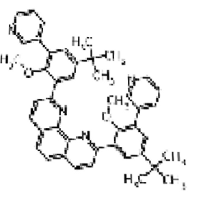 COc1c(-c2cccnc2)cc(C(C)(C)C)cc1-c1ccc2ccc3ccc(-c4cc(C(C)(C)C)cc(-c5cccnc5)c4OC)nc3c2n1